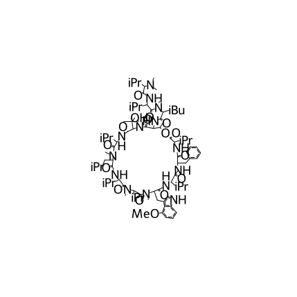 CCC(C)C(C(=O)NC1C(=O)N(C)C(C(C)O)C(=O)NC(C(C)C)C(=O)N(C)C(CC(C)C)C(=O)NC(C(C)C)C(=O)N(C)C(C(C)C)C(=O)N(C)C(Cc2c[nH]c3cccc(OC)c23)C(=O)NC(C(C)C)C(=O)NC(Cc2ccccc2)C(=O)NC(C(C)C)C(=O)OC1C)N(C)C(=O)C(NC(=O)C(C(C)C)N(C)C)C(C)C